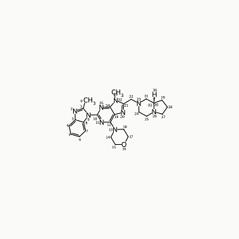 Cc1nc2ccccc2n1-c1nc(N2CCOCC2)c2nc(CN3CCN4CCC[C@H]4C3)n(C)c2n1